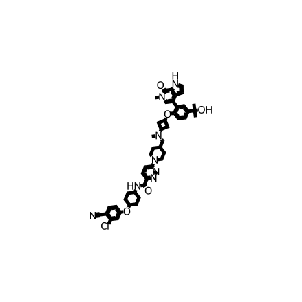 CN(CC1CCN(c2ccc(C(=O)NC3CCC(Oc4ccc(C#N)c(Cl)c4)CC3)nn2)CC1)C1CC(Oc2ccc(C(C)(C)O)cc2-c2cn(C)c(=O)c3[nH]ccc23)C1